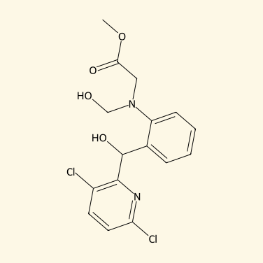 COC(=O)CN(CO)c1ccccc1C(O)c1nc(Cl)ccc1Cl